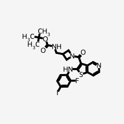 CC(C)(C)OC(=O)NCC1CN(C(=O)c2c(Nc3ccc(I)cc3F)sc3ccncc23)C1